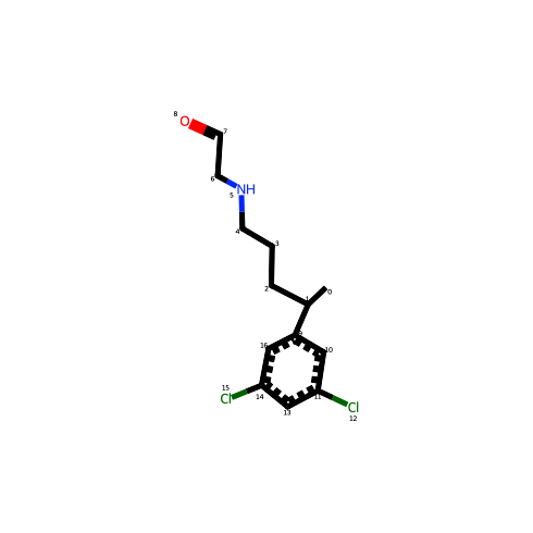 CC(CCCNCC=O)c1cc(Cl)cc(Cl)c1